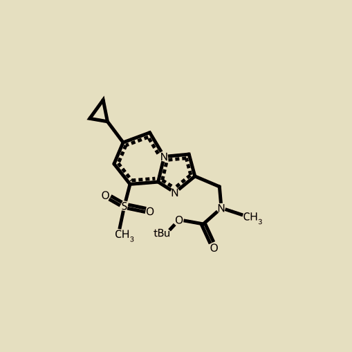 CN(Cc1cn2cc(C3CC3)cc(S(C)(=O)=O)c2n1)C(=O)OC(C)(C)C